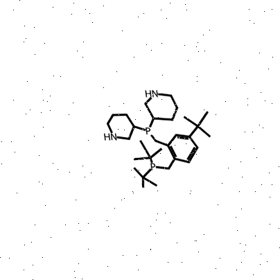 CC(C)(C)c1ccc(CP(C(C)(C)C)C(C)(C)C)c(CP(C2CCCNC2)C2CCCNC2)c1